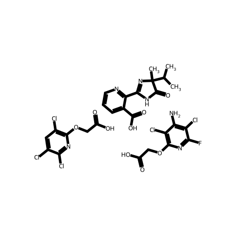 CC(C)C1(C)N=C(c2ncccc2C(=O)O)NC1=O.Nc1c(Cl)c(F)nc(OCC(=O)O)c1Cl.O=C(O)COc1nc(Cl)c(Cl)cc1Cl